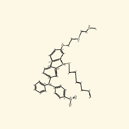 CCCCCCCOn1c2cc(OCCOCCOC)ccc2c2ccc(N(c3ccccc3)c3ccc([N+](=O)[O-])cc3)cc21